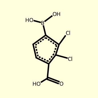 O=C(O)c1ccc(B(O)O)c(Cl)c1Cl